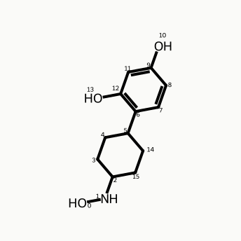 ONC1CCC(c2ccc(O)cc2O)CC1